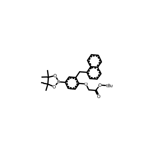 CC(C)(C)OC(=O)COc1ccc(B2OC(C)(C)C(C)(C)O2)cc1Cc1cccc2ccccc12